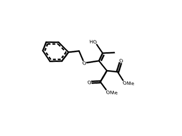 COC(=O)C(C(=O)OC)C(OCc1ccccc1)=C(C)O